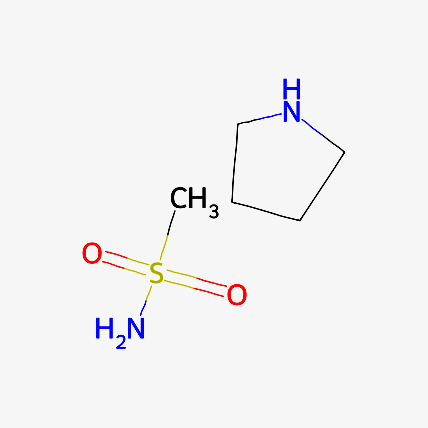 C1CCNC1.CS(N)(=O)=O